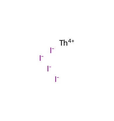 [I-].[I-].[I-].[I-].[Th+4]